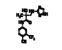 CC(O)(CNc1nc[nH]n1)C(=O)Nc1ccc(C#N)c(C(F)(F)F)c1